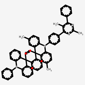 Cc1ccc2c(c1)C1(c3cc(C)ccc3N2c2ccc(-c3nc(C)nc(-c4ccccc4)c3C)cc2)c2ccccc2C2(c3ccccc3N(c3ccccc3)c3ccccc32)c2ccccc21